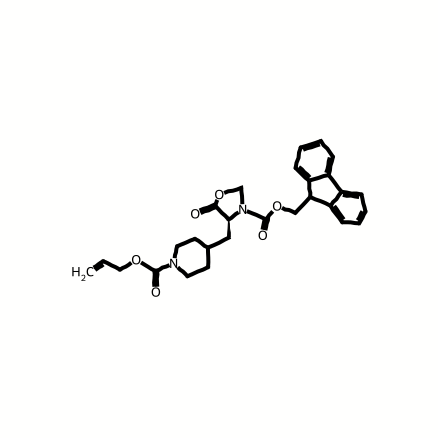 C=CCOC(=O)N1CCC(C[C@H]2C(=O)OCN2C(=O)OCC2c3ccccc3-c3ccccc32)CC1